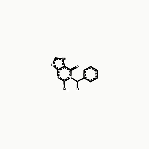 CCC(c1ccccc1)n1c(N)nc2nc[nH]c2c1=O